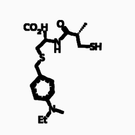 CCN(C)c1ccc(CSC[C@H](NC(=O)[C@H](C)CS)C(=O)O)cc1